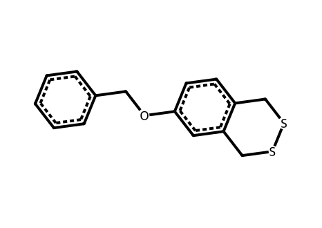 c1ccc(COc2ccc3c(c2)CSSC3)cc1